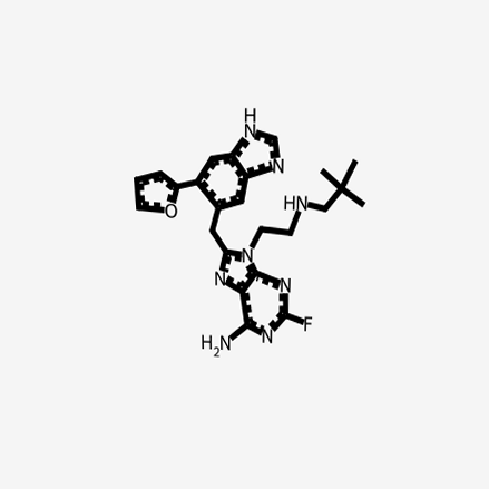 CC(C)(C)CNCCn1c(Cc2cc3nc[nH]c3cc2-c2ccco2)nc2c(N)nc(F)nc21